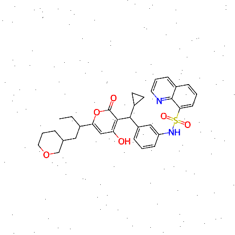 CCC(CC1CCCOC1)c1cc(O)c(C(c2cccc(NS(=O)(=O)c3cccc4cccnc34)c2)C2CC2)c(=O)o1